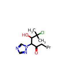 CC(C)CC(=O)C(C(O)C(C)(C)Cl)n1cncn1